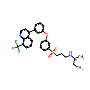 CC[C@H](C)NCCCS(=O)(=O)c1cccc(Oc2cccc(-c3ccnc4c(C(F)(F)F)cccc34)c2)c1